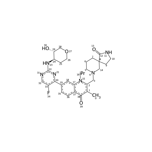 Cc1c(CN2CCCC3(CCNC3=O)C2)n(C(C)C)c2cc(-c3nc(N[C@@H]4CCOC[C@H]4O)ncc3F)ccc2c1=O